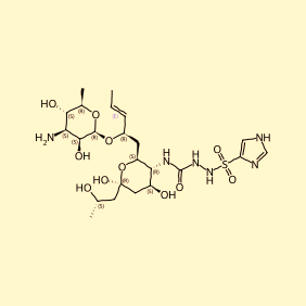 C/C=C/[C@@H](C[C@@H]1O[C@](O)(C[C@H](C)O)C[C@H](O)[C@H]1NC(=O)NNS(=O)(=O)c1c[nH]cn1)O[C@@H]1O[C@H](C)[C@@H](O)[C@H](N)[C@@H]1O